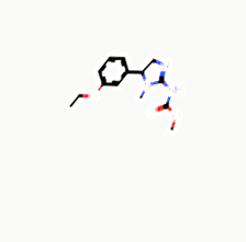 CCOc1cccc(C2CN=C(NC(=O)OC)N2C)c1